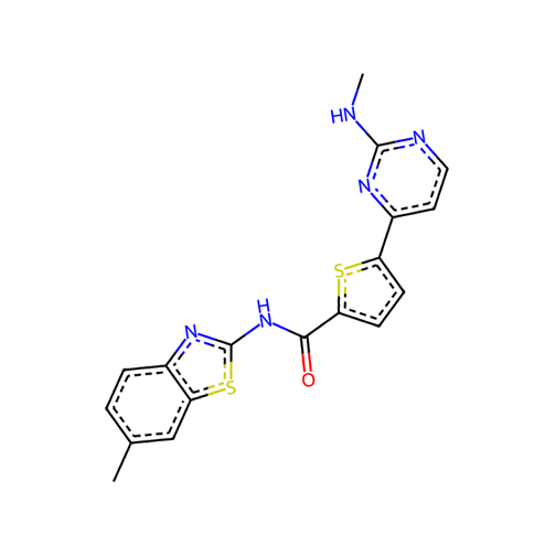 CNc1nccc(-c2ccc(C(=O)Nc3nc4ccc(C)cc4s3)s2)n1